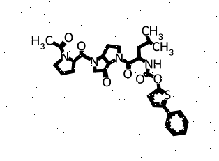 CC(=O)N1CCCC1C(=O)N1CC(=O)C2C1CCN2C(=O)C(CC(C)C)NC(=O)Oc1ccc(-c2ccccc2)s1